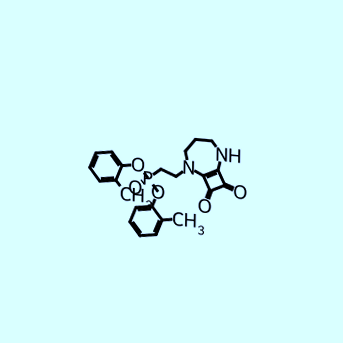 Cc1ccccc1OP(=O)(CCN1CCCNc2c1c(=O)c2=O)Oc1ccccc1C